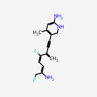 C=C(C#CC1=C(C)C=C(N)NC1)/C(F)=C\C=C(\N)CF